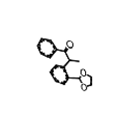 CC(C(=O)c1ccccc1)c1ccccc1C1OCCO1